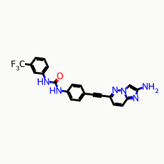 Nc1cn2nc(C#Cc3ccc(NC(=O)Nc4cccc(C(F)(F)F)c4)cc3)ccc2n1